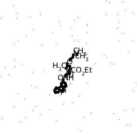 CCOC(=O)[C@@H]1C[C@](C)(COCCCN(C)C)CN1C(=O)CNC(=O)c1ccc2c(c1)-c1ccccc1C2(F)I